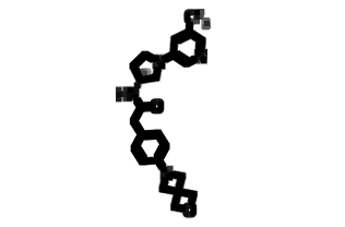 O=C(Cc1ccc(N2CC3(COC3)C2)cc1)N[C@@H]1CCN(c2cncc(C(F)(F)F)c2)C1